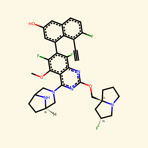 C#Cc1c(F)ccc2cc(O)cc(-c3c(F)c(OC)c4c(N5CC6CC[C@H](C5)N6)nc(OC[C@@]56CCCN5C[C@H](F)C6)nc4c3F)c12